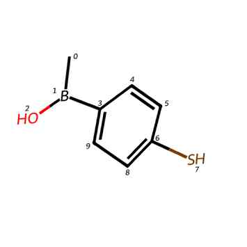 CB(O)c1ccc(S)cc1